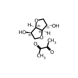 CC(=O)C(C)=O.O[C@@H]1CO[C@H]2[C@@H]1OC[C@@H]2O